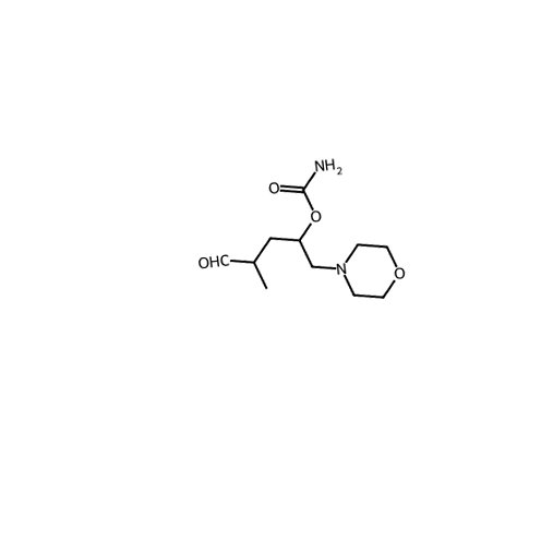 CC(C=O)CC(CN1CCOCC1)OC(N)=O